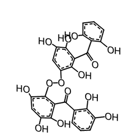 O=C(c1c(O)cccc1O)c1c(O)c(O)cc(OOc2c(O)cc(O)c(O)c2C(=O)c2cccc(O)c2O)c1O